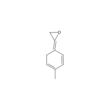 CC1=CCC(=C2CO2)C=C1